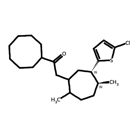 CC1CC[C@H](C)[C@@H](c2ccc(Cl)s2)CC1CC(=O)C1CCCCCCC1